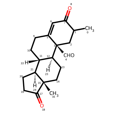 CC1C[C@@]2(C=O)C(=CC1=O)CC[C@@H]1[C@@H]2CC[C@]2(C)C(=O)CC[C@@H]12